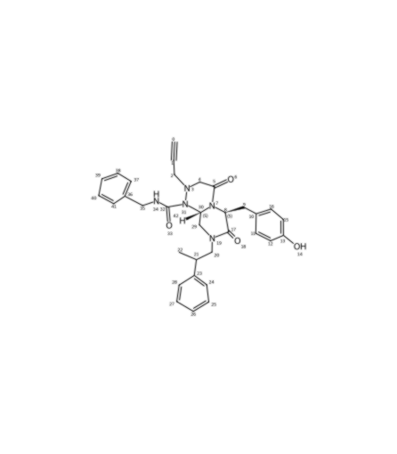 C#CCN1CC(=O)N2[C@@H](Cc3ccc(O)cc3)C(=O)N(CC(C)c3ccccc3)C[C@@H]2N1C(=O)NCc1ccccc1